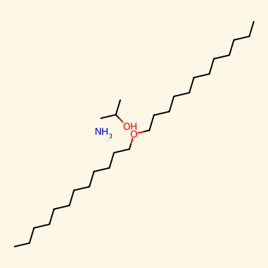 CC(C)O.CCCCCCCCCCCCOCCCCCCCCCCCC.N